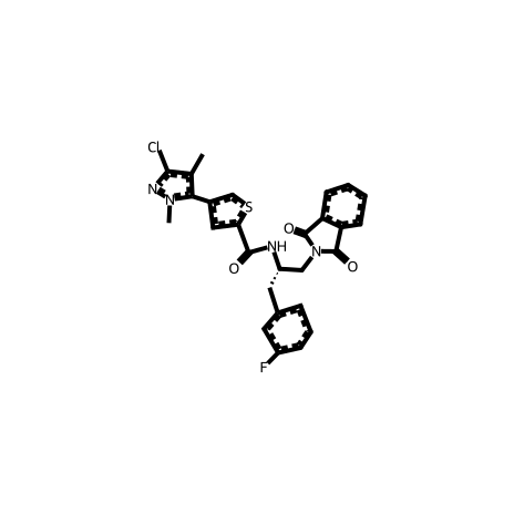 Cc1c(Cl)nn(C)c1-c1csc(C(=O)N[C@@H](Cc2cccc(F)c2)CN2C(=O)c3ccccc3C2=O)c1